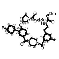 CC(C)(C)OC(=O)NCCc1cc(F)cc(C(=O)N2CCN(C(=O)c3ccc(O[C@H]4CCN(C(=O)OC(C)(C)C)C4)c(-c4ccc(F)cc4)c3)CC2)c1